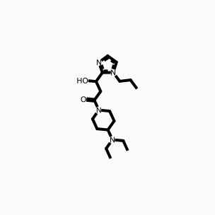 CCCn1ccnc1C(O)CC(=O)N1CCC(N(CC)CC)CC1